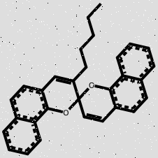 CCCCCC1=Cc2ccc3ccccc3c2OC12C=Cc1ccc3ccccc3c1O2